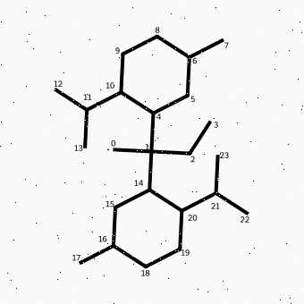 [CH2]C(CC)(C1CC(C)CCC1C(C)C)C1CC(C)CCC1C(C)C